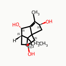 CC1=C2[C@@H](O)[C@H]3C[C@H](O)[C@@H](C)C2(C[C@@H]1O)C3(C)C